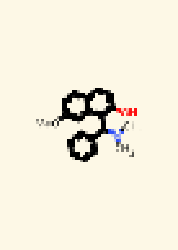 COc1ccc2ccc(O)c(C(c3ccccc3)N(C)C)c2c1